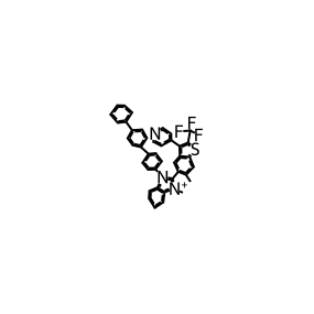 Cc1cc2sc(C(F)(F)F)c(-c3ccncc3)c2cc1-c1n(-c2ccc(-c3ccc(-c4ccccc4)cc3)cc2)c2ccccc2[n+]1C